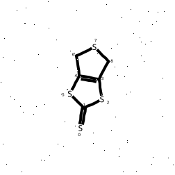 S=c1sc2c(s1)CSC2